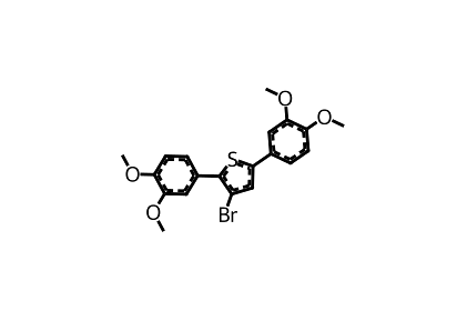 COc1ccc(-c2cc(Br)c(-c3ccc(OC)c(OC)c3)s2)cc1OC